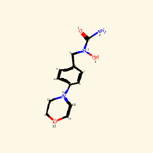 NC(=O)N(O)Cc1ccc(N2CCOCC2)cc1